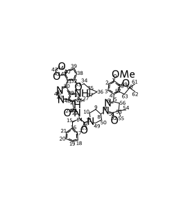 COc1ccc(C2=NN(C3CCN(C(=O)[C@@H](Cc4ccccc4)NC(=O)c4c(C)[nH]c5c(-c6c(OCC7CC7)ccc7c6OCO7)ncnc45)CC3)C(=O)C(C)(C)C2)c2c1OC(C)(C)C2